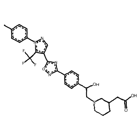 Cc1ccc(-n2ncc(-c3nc(-c4ccc(C(O)CN5CCCC(CC(=O)O)C5)cc4)no3)c2C(F)(F)F)cc1